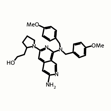 COc1ccc(CN(Cc2ccc(OC)cc2)c2nc(N3CCCC3CCO)cc3cc(N)ncc23)cc1